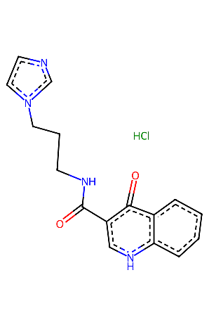 Cl.O=C(NCCCn1ccnc1)c1c[nH]c2ccccc2c1=O